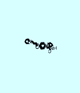 Cc1cccc2c1/C(=C\Nc1ccc(OCCCN3CCCCC3)cc1)C(=O)N2